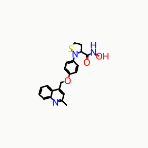 Cc1cc(COc2ccc(N3SCCC3C(=O)NO)cc2)c2ccccc2n1